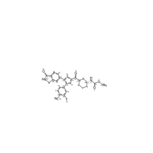 CC(C)(C)OC(=O)N[C@@H]1CCCN(C(=O)c2cc(-c3ccc(C#N)c(F)c3)c(-c3ccc4c(c3)CNC4=O)s2)C1